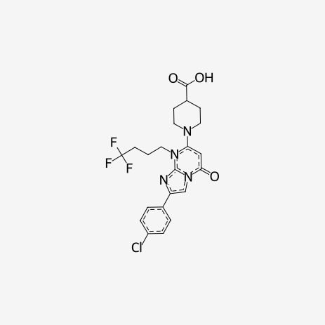 O=C(O)C1CCN(c2cc(=O)n3cc(-c4ccc(Cl)cc4)nc3n2CCCC(F)(F)F)CC1